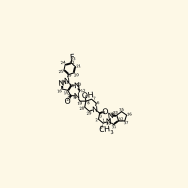 C[C@H](CC(=O)N1CCC(O)(Cn2cnc3c(cnn3-c3ccc(F)cc3)c2=O)CC1)n1cc2c(n1)CCC2